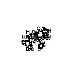 CC(=O)O[C@H]1C(=O)[C@@]2(C)[C@H]([C@H](OC(=O)c3ccccc3)[C@]3(O)C[C@H](OC(=O)[C@H](O)[C@@H](NC(=O)SC(C)(C)C)c4ccco4)C(C)=C1C3(C)C)C1(OC(C)=O)CO[C@@H]1C[C@@H]2O